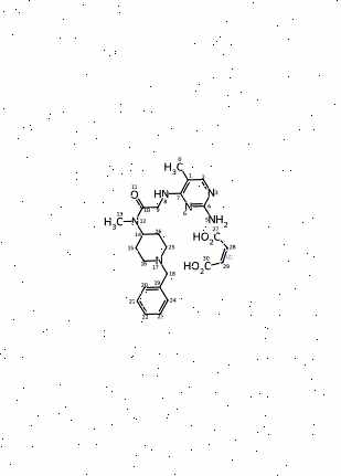 Cc1cnc(N)nc1NCC(=O)N(C)C1CCN(Cc2ccccc2)CC1.O=C(O)/C=C\C(=O)O